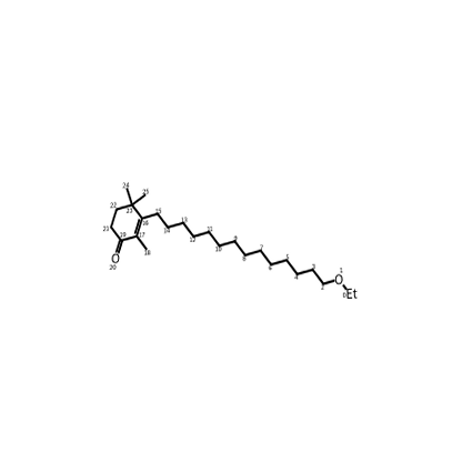 CCOCCCCCCCCCCCCCCC1=C(C)C(=O)CCC1(C)C